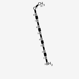 BB=BB=BB=BB=BOC